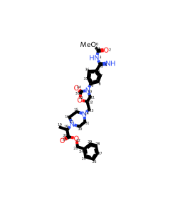 COC(=O)NC(=N)c1ccc(N2CC(CN3CCN(C(C)C(=O)OCc4ccccc4)CC3)OC2=O)cc1